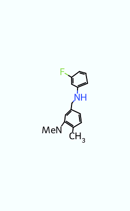 CNc1cc(CNc2cccc(F)c2)ccc1C